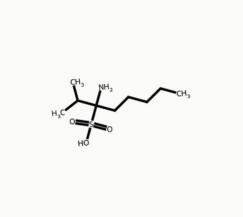 CCCCCC(N)(C(C)C)S(=O)(=O)O